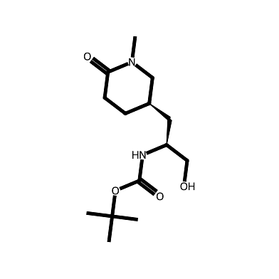 CN1C[C@@H](C[C@@H](CO)NC(=O)OC(C)(C)C)CCC1=O